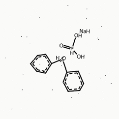 O.O=[PH](O)O.[NaH].c1ccc(Sc2ccccc2)cc1